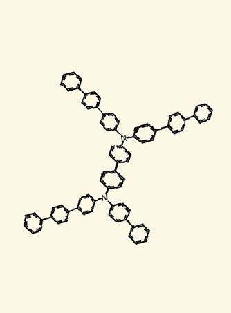 c1ccc(-c2ccc(-c3ccc(N(c4ccc(-c5ccccc5)cc4)c4ccc(-c5ccc(N(c6ccc(-c7ccc(-c8ccccc8)cc7)cc6)c6ccc(-c7ccc(-c8ccccc8)cc7)cc6)cc5)cc4)cc3)cc2)cc1